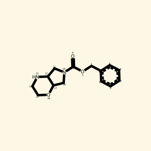 O=C(OCc1ccccc1)N1CC2NCCOC2C1